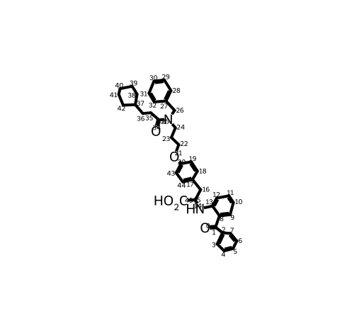 O=C(c1ccccc1)c1ccccc1NC(Cc1ccc(OCCCN(Cc2ccccc2)C(=O)CCC2CCCCC2)cc1)C(=O)O